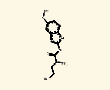 CCCSc1ccc2[nH]c(NC(=O)C(N)CCSC)nc2c1